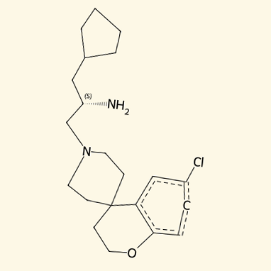 N[C@@H](CC1CCCC1)CN1CCC2(CCOc3ccc(Cl)cc32)CC1